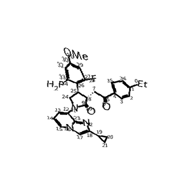 CCc1ccc(C(=O)C[C@@H]2C(=O)N(c3cccn4cc(C5CC5)nc34)C[C@H]2c2c(F)cc(OC)cc2P)cc1